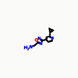 NCc1nc(-c2ccnc(C3CC3)c2)no1